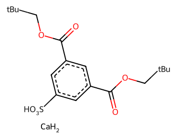 CC(C)(C)COC(=O)c1cc(C(=O)OCC(C)(C)C)cc(S(=O)(=O)O)c1.[CaH2]